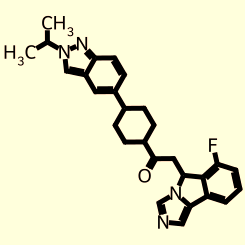 CC(C)n1cc2cc(C3CCC(C(=O)CC4c5c(F)cccc5-c5cncn54)CC3)ccc2n1